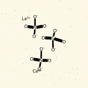 O=S(=O)([O-])[O-].O=S(=O)([O-])[O-].O=S(=O)([O-])[O-].[Ce+3].[La+3]